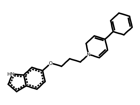 C1=CCC(C2=CCN(CCCOc3ccc4cc[nH]c4c3)C=C2)=CC1